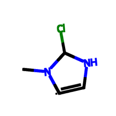 CN1[C]=CNC1Cl